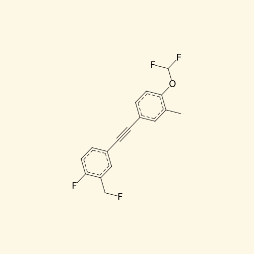 Cc1cc(C#Cc2ccc(F)c(CF)c2)ccc1OC(F)F